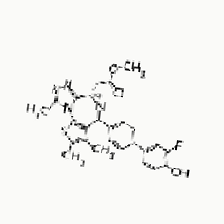 COC(=O)C[C@@H]1N=C(c2ccc(-c3ccc(O)c(F)c3)cc2)c2c(sc(C)c2C)-n2c(C)nnc21